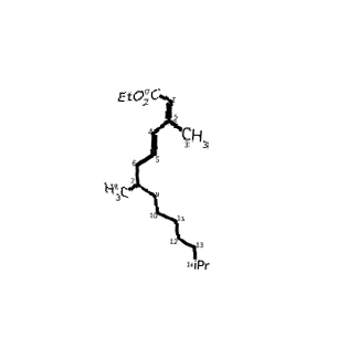 CCOC(=O)C=C(C)C=CCC(C)CCCCCC(C)C